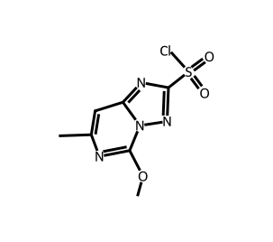 COc1nc(C)cc2nc(S(=O)(=O)Cl)nn12